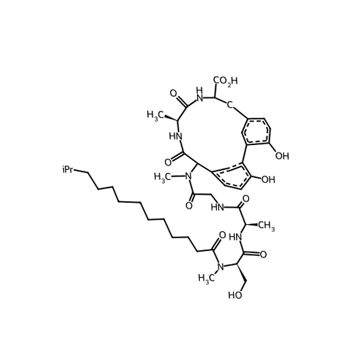 CC(C)CCCCCCCCCCC(=O)N(C)[C@H](CO)C(=O)N[C@H](C)C(=O)NCC(=O)N(C)C1C(=O)N[C@@H](C)C(=O)NC(C(=O)O)Cc2ccc(O)c(c2)-c2cc1ccc2O